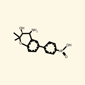 CC1(C)Oc2ccc(-c3ccc([PH](=O)O)cc3)cc2C(N)[C@@H]1O